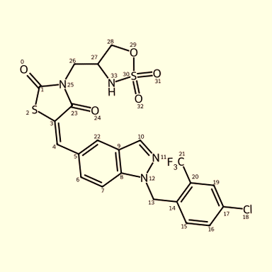 O=C1SC(=Cc2ccc3c(cnn3Cc3ccc(Cl)cc3C(F)(F)F)c2)C(=O)N1CC1COS(=O)(=O)N1